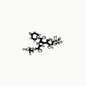 CC(C)S(=O)(=O)Nc1cc(C#N)c(-c2sc(C(=O)NCC(C)(C)O)nc2C(=O)N2CCC(F)CC2)cn1